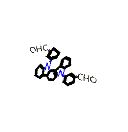 O=Cc1cccc(-n2c3ccccc3c3c2ccc2c4ccccc4n(-c4cccc(C=O)c4)c23)c1